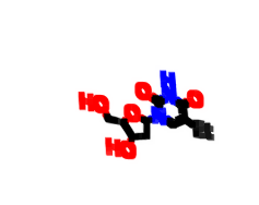 CCc1cn([C@H]2C[C@@H](O)[C@@H](CO)O2)c(=O)[nH]c1=O